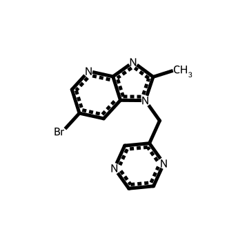 Cc1nc2ncc(Br)cc2n1Cc1cnccn1